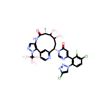 BC1C[C@H](n2cnc(-c3c(-n4cc(Cl)nn4)ccc(Cl)c3F)cc2=O)c2cc(ccn2)-c2c(cnn2C(B)(B)B)NC(=O)[C@H](C)C1B